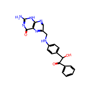 Nc1nc(=O)c2nc(CNc3ccc(C(O)C(=O)c4ccccc4)cc3)cnc2[nH]1